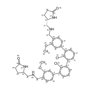 COc1cc(-c2cccc(-c3cccc(-c4ccc(CNC[C@@H]5CCC(=O)N5)c(OC)c4)c3Cl)c2Cl)ccc1CNCC1CCC(=O)N1